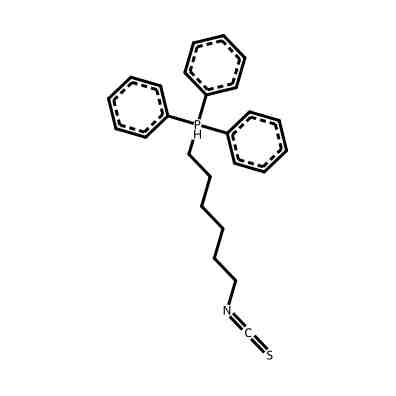 S=C=NCCCCCC[PH](c1ccccc1)(c1ccccc1)c1ccccc1